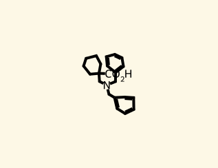 O=C(O)C1(CN(Cc2ccccc2)Cc2ccccc2)CCCCC1